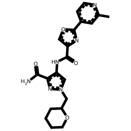 Cc1cc(-c2nc(C(=O)Nc3cn(CC4CCCCO4)nc3C(N)=O)co2)ccn1